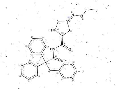 CCO/N=C1/CN[C@H](C(=O)NC(=O)C(Cc2ccccc2)(c2ccccc2)c2ccccc2)C1